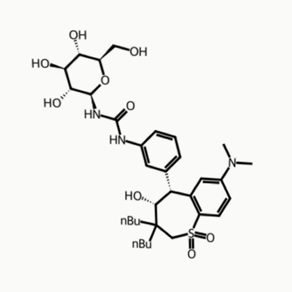 CCCCC1(CCCC)CS(=O)(=O)c2ccc(N(C)C)cc2[C@@H](c2cccc(NC(=O)N[C@@H]3O[C@H](CO)[C@@H](O)[C@H](O)[C@H]3O)c2)[C@H]1O